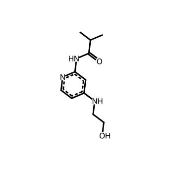 CC(C)C(=O)Nc1cc(NCCO)ccn1